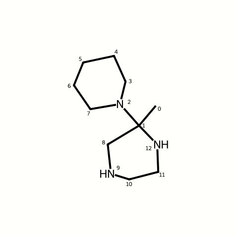 CC1(N2CCCCC2)CNCCN1